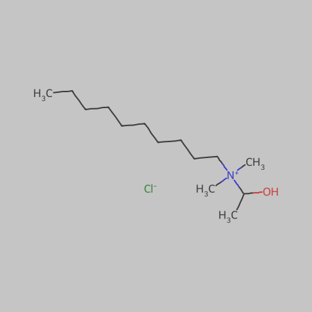 CCCCCCCCCC[N+](C)(C)C(C)O.[Cl-]